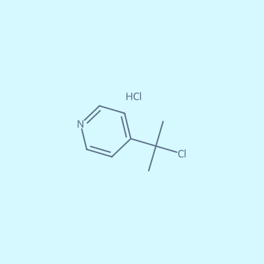 CC(C)(Cl)c1ccncc1.Cl